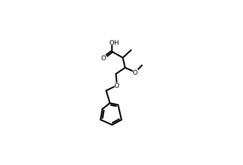 COC(COCc1ccccc1)C(C)C(=O)O